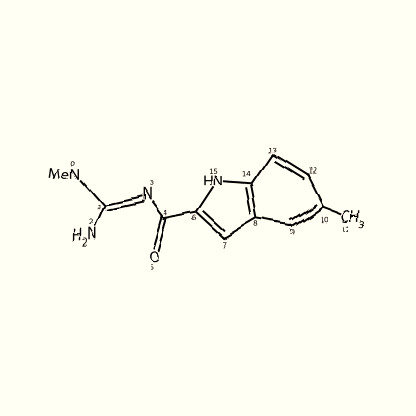 CNC(N)=NC(=O)c1cc2cc(C)ccc2[nH]1